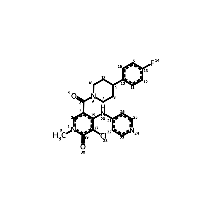 Cn1cc(C(=O)N2CCC(c3ccc(F)cc3)CC2)c(Nc2ccncc2)c(Cl)c1=O